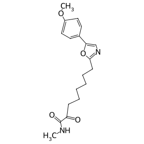 CNC(=O)C(=O)CCCCCCc1ncc(-c2ccc(OC)cc2)o1